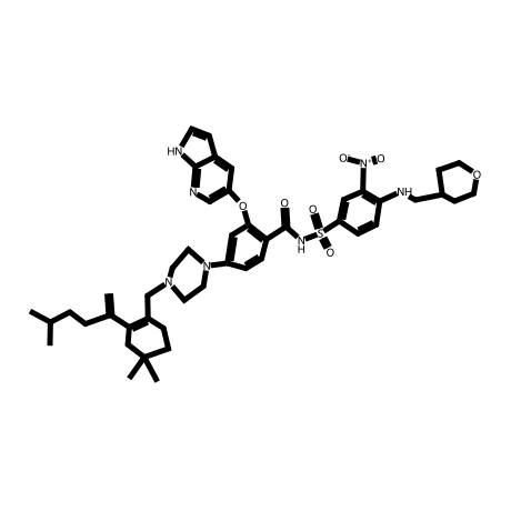 C=C(CCC(C)C)C1=C(CN2CCN(c3ccc(C(=O)NS(=O)(=O)c4ccc(NCC5CCOCC5)c([N+](=O)[O-])c4)c(Oc4cnc5[nH]ccc5c4)c3)CC2)CCC(C)(C)C1